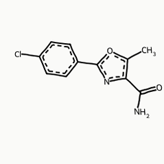 Cc1oc(-c2ccc(Cl)cc2)nc1C(N)=O